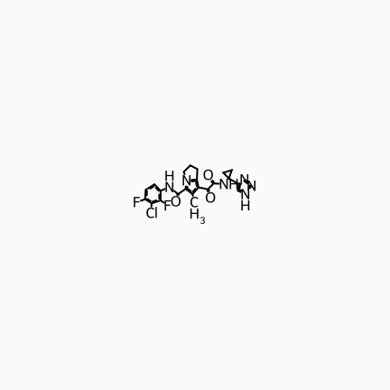 Cc1c(C(=O)C(=O)NC2(c3c[nH]nn3)CC2)c2n(c1C(=O)Nc1ccc(F)c(Cl)c1F)CCC2